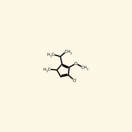 COC1=C(C(C)C)C(C)C=C1Cl